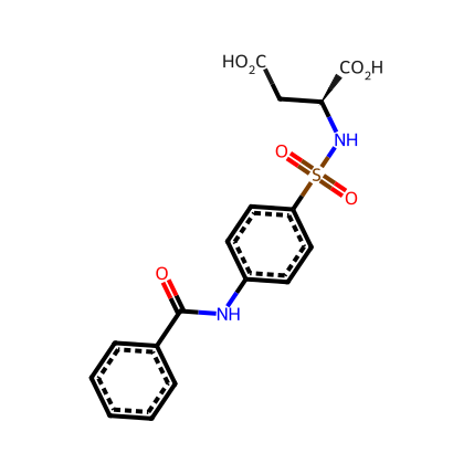 O=C(O)C[C@H](NS(=O)(=O)c1ccc(NC(=O)c2ccccc2)cc1)C(=O)O